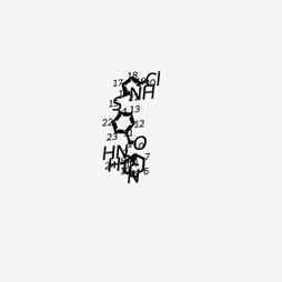 O=C(N[C@H]1CN2CCC1CC2)c1ccc(Sc2ccc(Cl)[nH]2)cc1